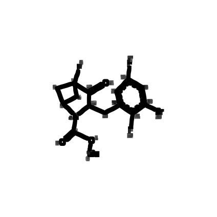 CC(C)(C)OC(=O)N1C2CC(F)(C2)C(=O)C1Cc1cc(F)cc(Br)c1F